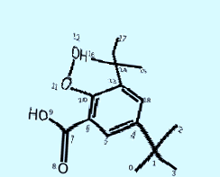 CC(C)(C)c1cc(C(=O)O)c(OO)c(C(C)(C)C)c1